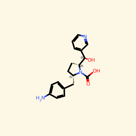 Nc1ccc(C[C@@H]2CC[C@H]([C@H](O)c3cccnc3)N2C(=O)O)cc1